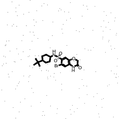 CC(C)(C)C1CCC(NS(=O)(=O)c2cc3c(cc2Br)NC(=O)CO3)CC1